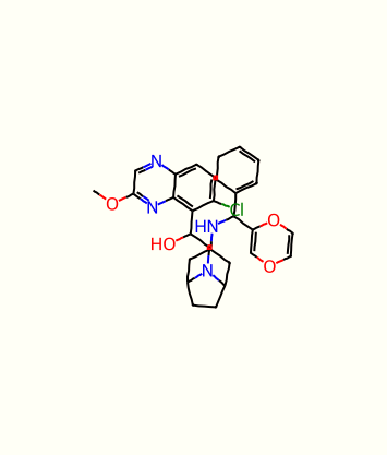 COc1cnc2ccc(Cl)c(C(O)CN3C4CCC3CC(NC(C3=CC=CCC3)C3=COC=CO3)C4)c2n1